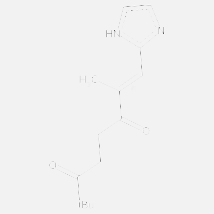 C/C(=C\c1ncc[nH]1)C(=O)CCC(=O)C(C)(C)C